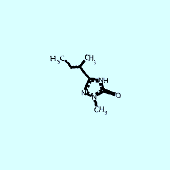 CCC(C)c1nn(C)c(=O)[nH]1